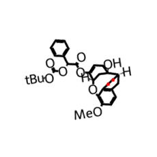 COc1ccc2c3c1O[C@@H]1C[C@@](O)(CC=C1OC(=O)[C@@H](OC(=O)OC(C)(C)C)c1ccccc1)[C@H](CCCC3)C2